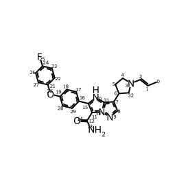 CC=CN1CCC(c2cnn3c(C(N)=O)c(-c4ccc(Oc5ccc(F)cc5)cc4)[nH]c23)C1